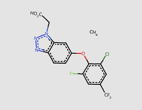 C.O=C(O)Cn1nnc2ccc(Oc3c(F)cc(C(F)(F)F)cc3Cl)cc21